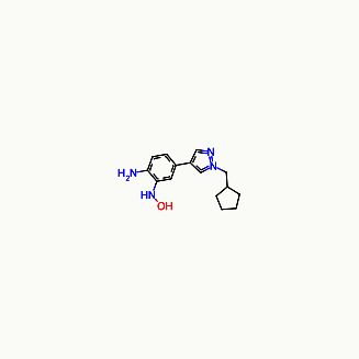 Nc1ccc(-c2cnn(CC3CCCC3)c2)cc1NO